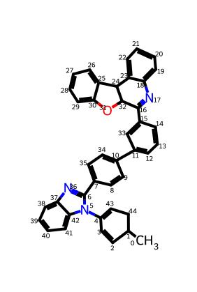 CC1C=CC(n2c(-c3ccc(-c4cccc(C5=Nc6ccccc6C6c7ccccc7OC56)c4)cc3)nc3ccccc32)=CC1